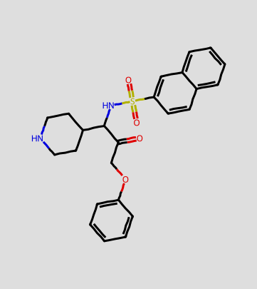 O=C(COc1ccccc1)C(NS(=O)(=O)c1ccc2ccccc2c1)C1CCNCC1